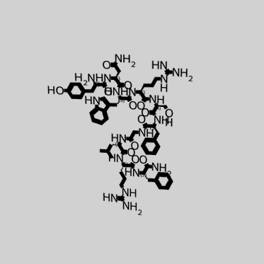 CC(C)C[C@H](NC(=O)CNC(=O)[C@H](Cc1ccccc1)NC(=O)[C@H](CO)NC(=O)[C@H](CCCNC(=N)N)NC(=O)[C@H](Cc1c[nH]c2ccccc12)NC(=O)[C@H](CC(N)=O)NC(=O)[C@@H](N)Cc1ccc(O)cc1)C(=O)N[C@@H](CCCNC(=N)N)C(=O)N[C@@H](Cc1ccccc1)C(N)=O